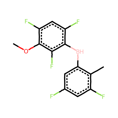 COc1c(F)cc(F)c(Bc2cc(F)cc(F)c2C)c1F